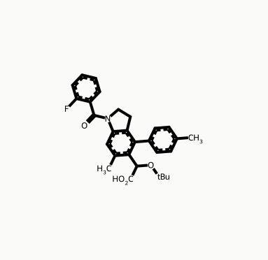 Cc1ccc(-c2c3c(cc(C)c2C(OC(C)(C)C)C(=O)O)N(C(=O)c2ccccc2F)CC3)cc1